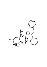 CC(C)CC(NC(=O)OC(Cc1ccccc1)C1CCCCC1)C(=O)O